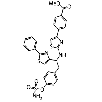 COC(=O)c1ccc(-c2csc(NC(Cc3ccc(OS(N)(=O)=O)cc3)c3csc(-c4ccccc4)n3)n2)cc1